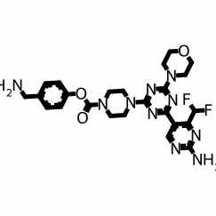 NCc1ccc(OC(=O)N2CCN(c3nc(-c4cnc(N)nc4C(F)F)nc(N4CCOCC4)n3)CC2)cc1